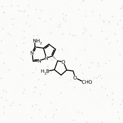 BC1CC(COC=O)O[C@H]1c1ccc2c(N)ncnn12